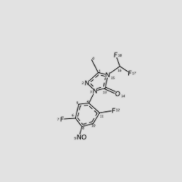 Cc1nn(-c2cc(F)c(N=O)cc2F)c(=O)n1C(F)F